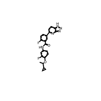 CC(Oc1ccc(NC(=O)c2cc(-c3ccc4[nH]nnc4n3)ccc2F)cc1F)C1CC1